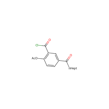 CCCCCCCC(=O)c1ccc(OC(C)=O)c(C(=O)Cl)c1